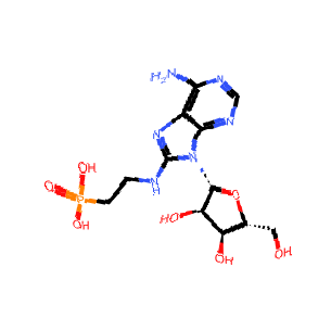 Nc1ncnc2c1nc(NCCP(=O)(O)O)n2[C@@H]1O[C@H](CO)[C@@H](O)[C@H]1O